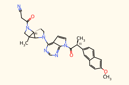 COc1ccc2cc([C@H](C)C(=O)n3ccc4c(N5CC[C@]67C5C6(C)CN7C(=O)CC#N)ncnc43)ccc2c1